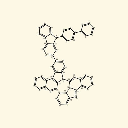 c1ccc(-c2ccc(-n3c4ccccc4c4ccc(-c5ccc6c(c5)c5c7ccccc7ccc5n6-c5nc6ccccc6c6nc7ccccc7n56)cc43)cc2)cc1